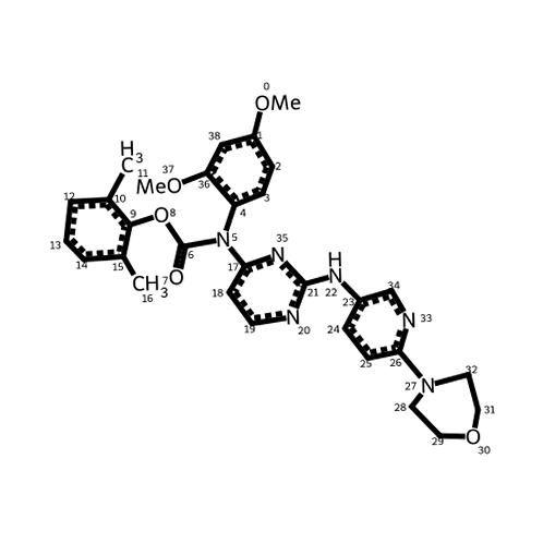 COc1ccc(N(C(=O)Oc2c(C)cccc2C)c2ccnc(Nc3ccc(N4CCOCC4)nc3)n2)c(OC)c1